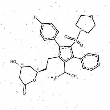 CC(C)c1c(-c2ccccc2)c(S(=O)(=O)N2CCOCC2)c(-c2ccc(F)cc2)n1CC[C@@H]1C[C@@H](O)CC(=O)O1